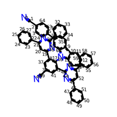 N#Cc1ccc(-c2ccc3c4ccccc4n(-c4c(-c5cc(-c6ccccc6)nc(-c6ccccc6)n5)cc(C#N)cc4-c4nc(-c5ccccc5)cc(-c5ccccc5)n4)c3c2)cc1